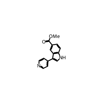 COC(=O)c1ccc2[nH]cc(-c3ccncc3)c2c1